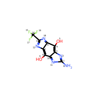 NC1=Nc2c(O)c3c(c(O)c2=N1)N=C(C(F)(F)F)N=3